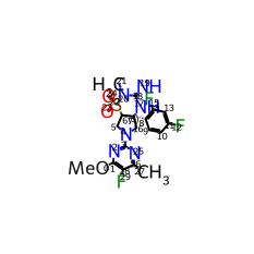 COc1nc(N2CC3[C@](c4ccc(F)cc4F)(C2)NC(=N)N(C)S3(=O)=O)nc(C)c1F